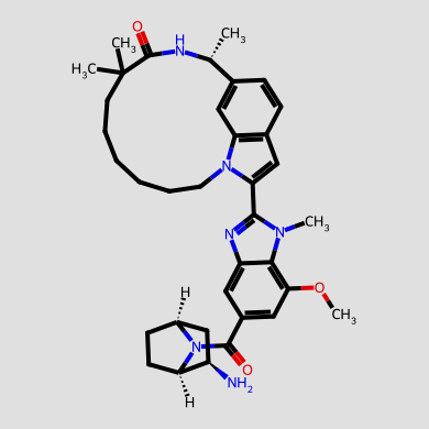 COc1cc(C(=O)N2[C@H]3CC[C@@H]2[C@H](N)C3)cc2nc(-c3cc4ccc5cc4n3CCCCCCC(C)(C)C(=O)N[C@@H]5C)n(C)c12